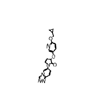 O=C1[C@H](Oc2ccc(OCC3CC3)nc2)CCN1c1ccc2nncn2c1